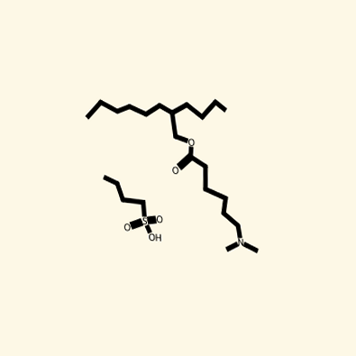 CCCCCCC(CCCC)COC(=O)CCCCCN(C)C.CCCCS(=O)(=O)O